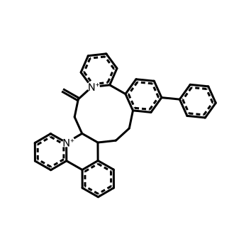 C=C1CC2C(CCc3cc(-c4ccccc4)ccc3-c3cccc[n+]31)c1ccccc1-c1cccc[n+]12